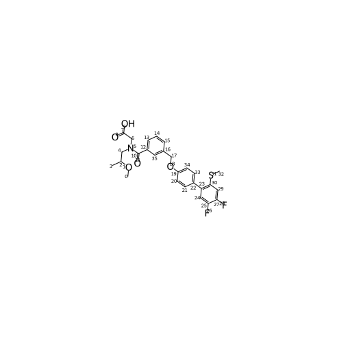 COC(C)CN(CC(=O)O)C(=O)c1cccc(COc2ccc(-c3cc(F)c(F)cc3SC)cc2)c1